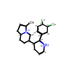 N#CC1CCC2CCC(C3CCCNC3C3CCC(F)C(Cl)C3)CN12